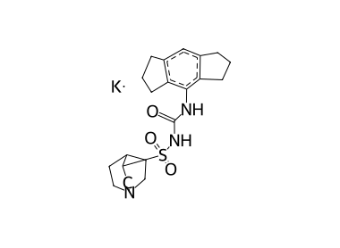 O=C(Nc1c2c(cc3c1CCC3)CCC2)NS(=O)(=O)C1CN2CCC1CC2.[K]